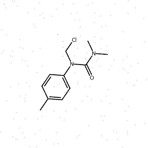 Cc1ccc(N(CCl)C(=O)N(C)C)cc1